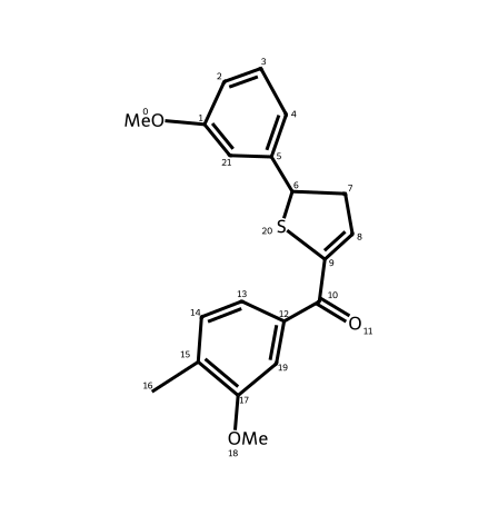 COc1cccc(C2CC=C(C(=O)c3ccc(C)c(OC)c3)S2)c1